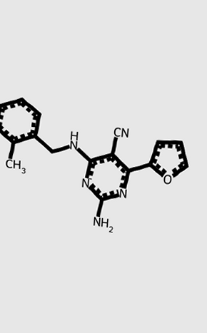 Cc1ccccc1CNc1nc(N)nc(-c2ccco2)c1C#N